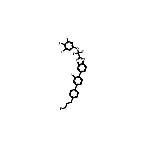 FCCCc1ccc(-c2ccc(-c3ccc4nc(C(F)(F)Oc5cc(F)c(F)c(F)c5)sc4c3)c(F)c2)cc1